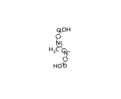 Cc1c[n+](Cc2ccc(C(=O)CO)cc2)ccc1-c1cc[n+](Cc2ccc(C(=O)CO)cc2)cc1